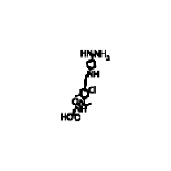 Cc1cc(C#CCNc2ccc(C(=N)N)cc2)c(Cl)cc1N(C(=O)NCC(=O)O)C(C)C